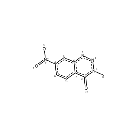 Cn1nnc2cc([N+](=O)[O-])ccc2c1=O